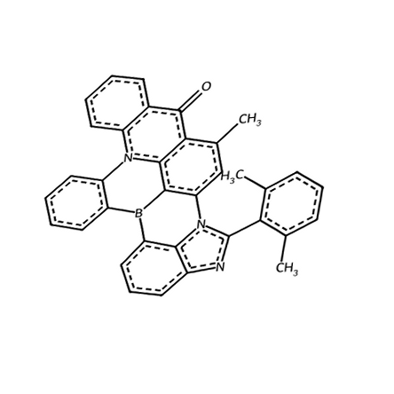 Cc1cccc(C)c1-c1nc2cccc3c2n1-c1cc(C)c2c(=O)c4ccccc4n4c2c1B3c1ccccc1-4